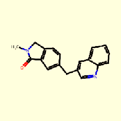 CN1Cc2ccc(Cc3cnc4ccccc4c3)cc2C1=O